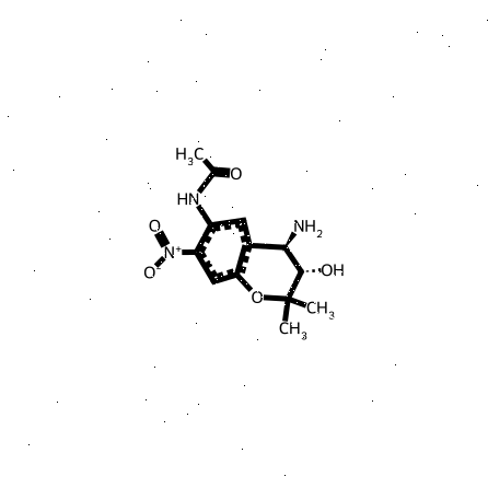 CC(=O)Nc1cc2c(cc1[N+](=O)[O-])OC(C)(C)[C@@H](O)[C@@H]2N